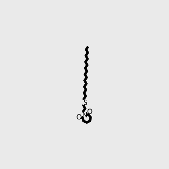 CCCCCCCCCCCCCCCCCCSCCCN1C(=O)CCCCC1=O